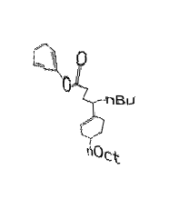 CCCCCCCCC1CC=C(C(CCCC)CCC(=O)Oc2ccccc2)CC1